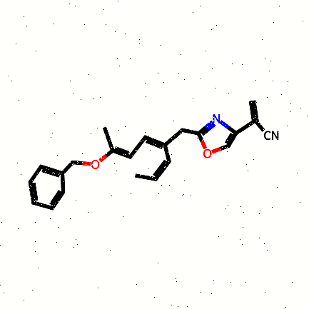 C=C(C#N)c1coc(CC(/C=C\C)=C/C=C(\C)OCc2ccccc2)n1